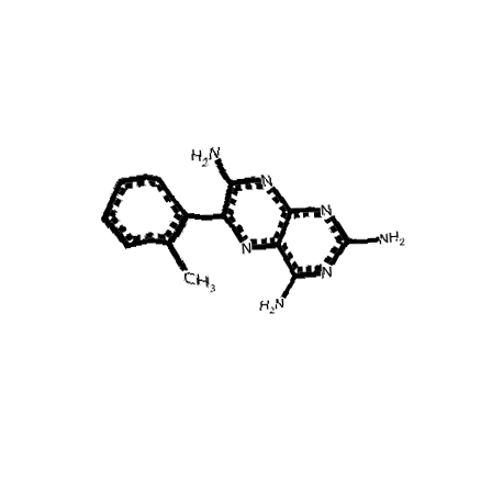 Cc1ccccc1-c1nc2c(N)nc(N)nc2nc1N